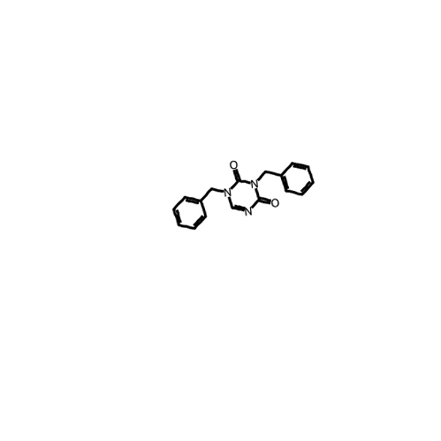 O=c1ncn(Cc2ccccc2)c(=O)n1Cc1ccccc1